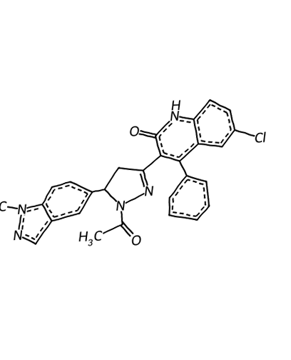 CC(=O)N1N=C(c2c(-c3ccccc3)c3cc(Cl)ccc3[nH]c2=O)CC1c1ccc2c(cnn2C)c1